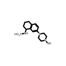 CCCN1CCN(c2ccc3c(c2)C(NC(=O)O)CCC3)CC1